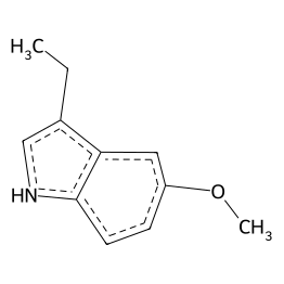 CCc1c[nH]c2ccc(OC)cc12